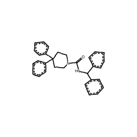 O=C(NC(c1ccccc1)c1ccccc1)N1CCC(c2ccccc2)(c2ccccc2)CC1